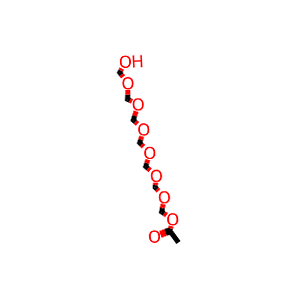 CC(=O)OCOCOCOCOCOCOCO